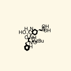 CC(C)(C)OC(=O)N[C@@H](Cc1ccccc1)C(=O)NC[C@@H]1CC[C@@H](CCB(O)O)C[C@]1(N)C(=O)O